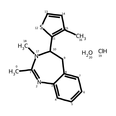 CC1=Nc2ccccc2CC(c2sccc2C)N1C.Cl.O